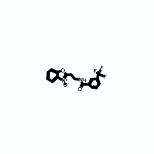 O=C(NCCc1oc2ccccc2[n+]1[O-])c1cccc(C(F)(F)F)c1